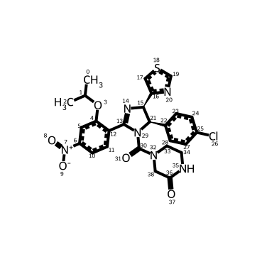 CC(C)Oc1cc([N+](=O)[O-])ccc1C1=N[C@@H](c2cscn2)[C@@H](c2ccc(Cl)cc2)N1C(=O)N1CCNC(=O)C1